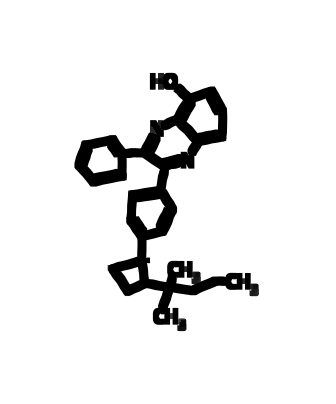 CCCC(C)(C)C1CC[C]1c1ccc(-c2nc3cccc(O)c3nc2-c2ccccc2)cc1